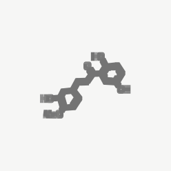 COC1=C(O)CC(/C=C/C(=O)c2cc(O)ccc2O)C=C1